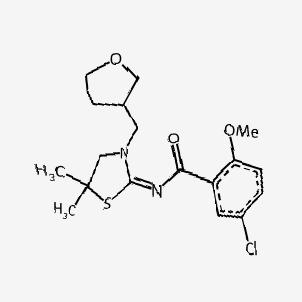 COc1ccc(Cl)cc1C(=O)N=C1SC(C)(C)CN1CC1CCOC1